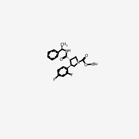 C[C@@H](NC(=O)[C@@H]1CN(C(=O)OC(C)(C)C)C[C@H]1c1ccc(F)cc1F)c1ccccc1